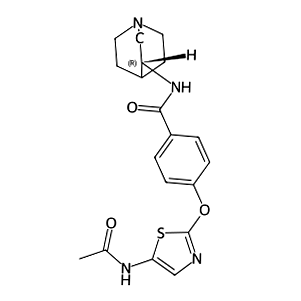 CC(=O)Nc1cnc(Oc2ccc(C(=O)N[C@H]3CN4CCC3CC4)cc2)s1